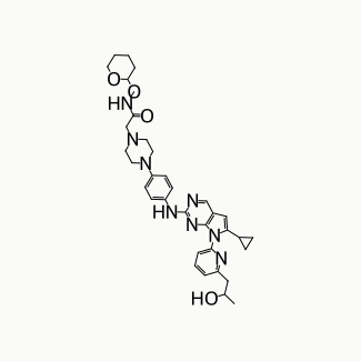 CC(O)Cc1cccc(-n2c(C3CC3)cc3cnc(Nc4ccc(N5CCN(CC(=O)NOC6CCCCO6)CC5)cc4)nc32)n1